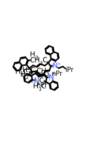 C=C(/C=C/C=C1/N(CCC)c2ccccc2C1(C)C)C(C)(CC=CCC1(C)C(/C=C/C=C2/N(CCC)c3ccccc3C2(C)C)=[N+](CCC(C)C)c2ccc3ccccc3c21)c1c(C)ccc2ccccc12